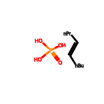 CCCC=CCCCC.O=P(O)(O)O